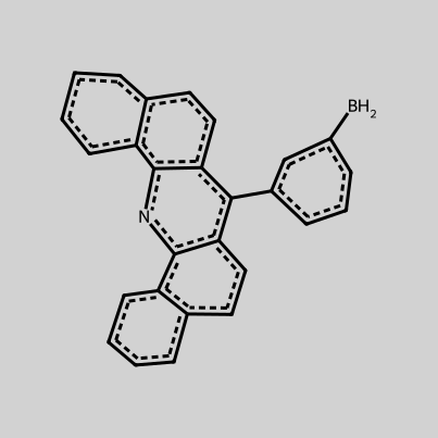 Bc1cccc(-c2c3ccc4ccccc4c3nc3c2ccc2ccccc23)c1